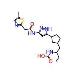 CCC(CC1CCC(c2cc(NC(=O)Cc3ncc(C)s3)n[nH]2)C1)NC(=O)O